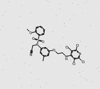 COc1ccccc1S(=O)(=O)N(CC#N)c1cc(C)cc(OCCNc2c(Cl)c(Cl)nc(Cl)c2Cl)c1